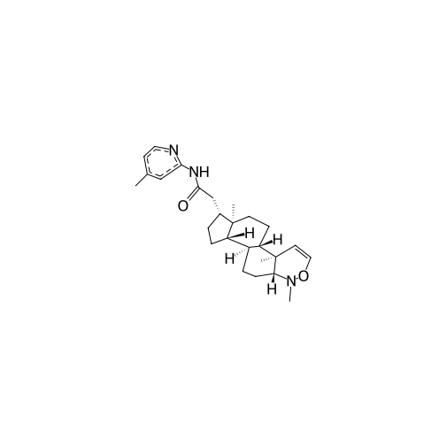 Cc1ccnc(NC(=O)C[C@H]2CC[C@H]3[C@@H]4CC[C@H]5N(C)OC=C[C@]5(C)[C@H]4CC[C@]23C)c1